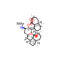 CN/N=C(/C[C@H]1O[C@@H]2O[C@]3(C)CC[C@H]4[C@H](C)CC[C@@H]([C@H]1C)[C@@]24OO3)[C@H]1O[C@@H]2O[C@]3(C)CC[C@H]4[C@H](C)CC[C@@H]([C@H]1C)[C@@]24OO3